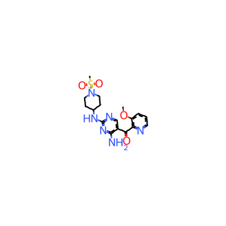 COc1cccnc1C(=O)c1cnc(NC2CCN(S(C)(=O)=O)CC2)nc1N